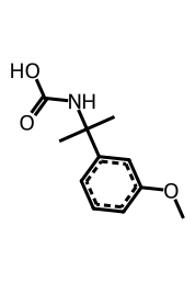 COc1cccc(C(C)(C)NC(=O)O)c1